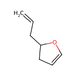 C=CCC1CC=CO1